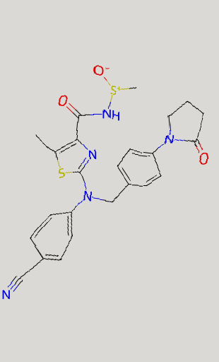 Cc1sc(N(Cc2ccc(N3CCCC3=O)cc2)c2ccc(C#N)cc2)nc1C(=O)N[S+](C)[O-]